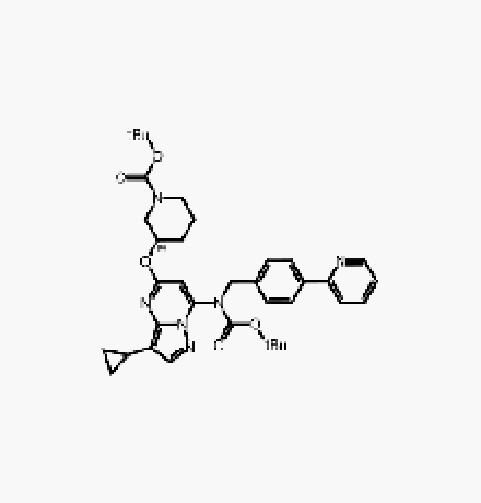 CC(C)(C)OC(=O)N1CCC[C@@H](Oc2cc(N(Cc3ccc(-c4ccccn4)cc3)C(=O)OC(C)(C)C)n3ncc(C4CC4)c3n2)C1